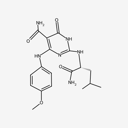 COc1ccc(Nc2nc(N[C@H](CC(C)C)C(N)=O)[nH]c(=O)c2C(N)=O)cc1